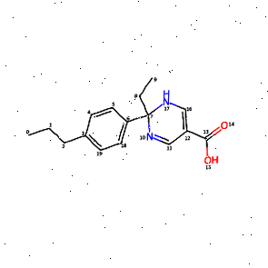 CCCc1ccc(C2(CC)N=CC(C(=O)O)=CN2)cc1